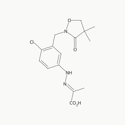 CC(=NNc1ccc(Cl)c(CN2OCC(C)(C)C2=O)c1)C(=O)O